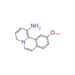 COc1ccc2c(c1)C1=C(N)C=CCN1C=C2